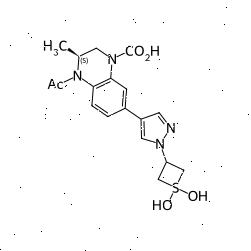 CC(=O)N1c2ccc(-c3cnn(C4CS(O)(O)C4)c3)cc2N(C(=O)O)C[C@@H]1C